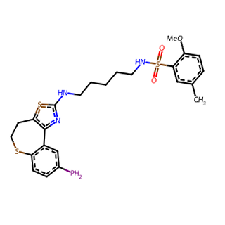 COc1ccc(C)cc1S(=O)(=O)NCCCCCNc1nc2c(s1)CCSc1ccc(P)cc1-2